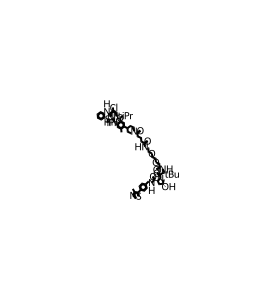 Cc1cc(Nc2ncc(Cl)c(Nc3ccccc3SC(C)C)n2)c(OC(C)C)cc1C1CCN(C(=O)CCCC(=O)NCCOCCOCC(=O)NC(C(=O)N2C[C@H](O)C[C@H]2C(=O)NCc2ccc(-c3scnc3C)cc2)C(C)(C)C)CC1